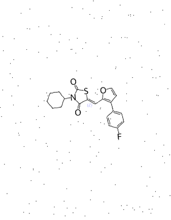 O=C1S/C(=C\c2occc2-c2ccc(F)cc2)C(=O)N1C1CCCCC1